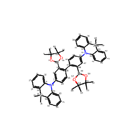 CC1(C)OB(c2cc(N3c4ccccc4[Si](C)(C)c4ccccc43)ccc2-c2ccc(N3c4ccccc4[Si](C)(C)c4ccccc43)cc2B2OC(C)(C)C(C)(C)O2)OC1(C)C